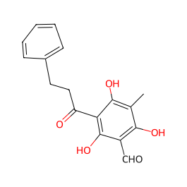 Cc1c(O)c(C=O)c(O)c(C(=O)CCc2ccccc2)c1O